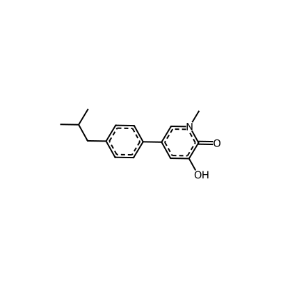 CC(C)Cc1ccc(-c2cc(O)c(=O)n(C)c2)cc1